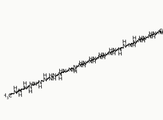 CCCNCCNCCNCCNCCNCCNCCNCCNCCNCCNCCNCCNCCNCCNCCNCCNCCNCCNCCNCCNCCNCCNCCNCCNCCNCCNCCNCCNCCNCCNC